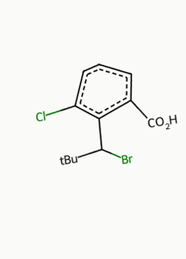 CC(C)(C)C(Br)c1c(Cl)cccc1C(=O)O